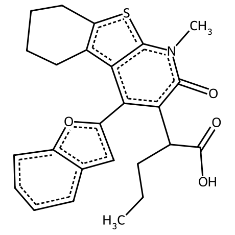 CCCC(C(=O)O)c1c(-c2cc3ccccc3o2)c2c3c(sc2n(C)c1=O)CCCC3